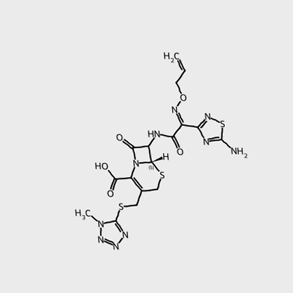 C=CCON=C(C(=O)NC1C(=O)N2C(C(=O)O)=C(CSc3nnnn3C)CS[C@@H]12)c1nsc(N)n1